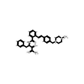 CN1CCN(Cc2ccc(/C=C/c3ccccc3C(=O)NC(Cc3ccccc3)C(=O)C(N)=O)cc2)CC1